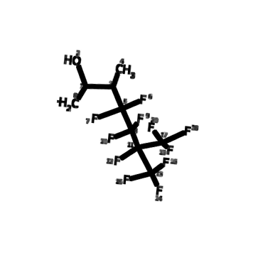 [CH2]C(O)C(C)C(F)(F)C(F)(F)C(F)(C(F)(F)F)C(F)(F)F